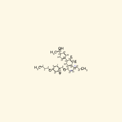 C=CCCOc1ccc(COC/C=C\C(=C/CC)C2=CCC(C3=CCC(C(C)O)C=C3)C(F)=C2F)c(F)c1